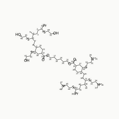 CC(C)C(CCC(C)C(CCC1CCC(C(=O)OCCCCCCOC(=O)C2CCC(CCC(SCCN(C)C)C(C)CCC(SCCN(C)C)C(C)C)C(SCCN(C)C)C2)CC1SCCO)SCCO)SCCO